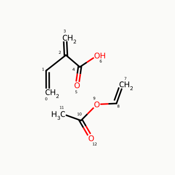 C=CC(=C)C(=O)O.C=COC(C)=O